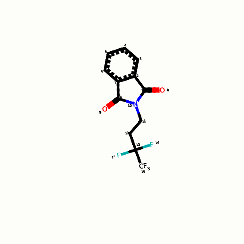 O=C1c2ccccc2C(=O)N1CCC(F)(F)C(F)(F)F